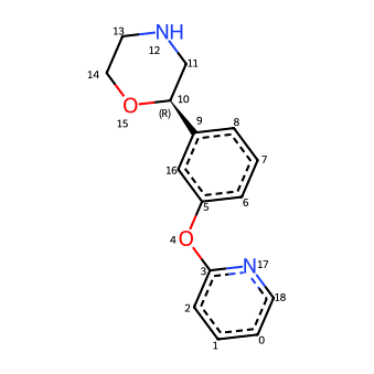 c1ccc(Oc2cccc([C@@H]3CNCCO3)c2)nc1